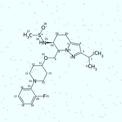 CC(C)c1cc2n(n1)C(COC1CCN(c3ccccc3F)CC1)[C@@H](N[S+](C)[O-])CC2